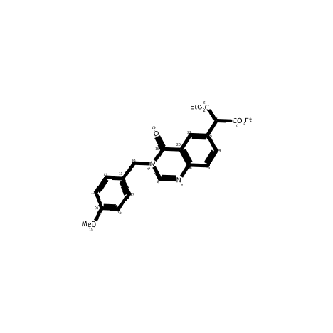 CCOC(=O)C(C(=O)OCC)c1ccc2ncn(Cc3ccc(OC)cc3)c(=O)c2c1